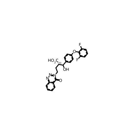 O=C(O)[C@@H](CCn1nnc2ccccc2c1=O)C(O)c1ccc(Oc2c(F)cccc2F)cc1